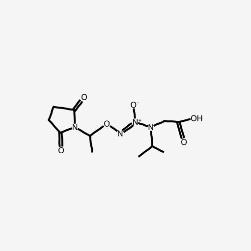 CC(ON=[N+]([O-])N(CC(=O)O)C(C)C)N1C(=O)CCC1=O